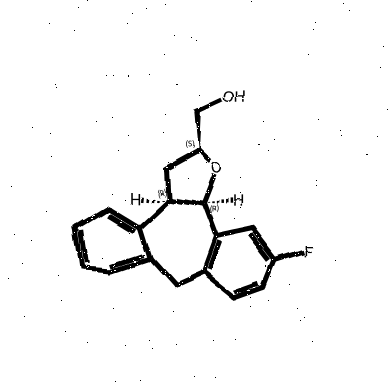 OC[C@@H]1C[C@@H]2c3ccccc3Cc3ccc(F)cc3[C@@H]2O1